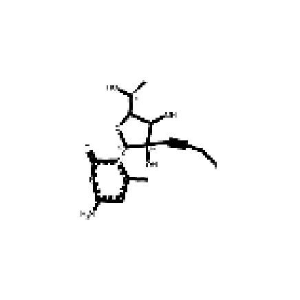 Cc1cc(N)nc(=O)n1[C@@H]1OC([C@H](C)O)C(O)[C@]1(O)C#CCF